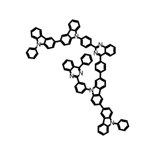 c1ccc(-c2nc(-c3cccc(-n4c5ccc(-c6ccc7c(c6)c6ccccc6n7-c6ccccc6)cc5c5ccc(-c6ccc(-c7nc(-c8ccc(-n9c%10ccccc%10c%10cc(-c%11ccc%12c(c%11)c%11ccccc%11n%12-c%11ccccc%11)ccc%109)cc8)nc8ccccc78)cc6)cc54)c3)nc3ccccc23)cc1